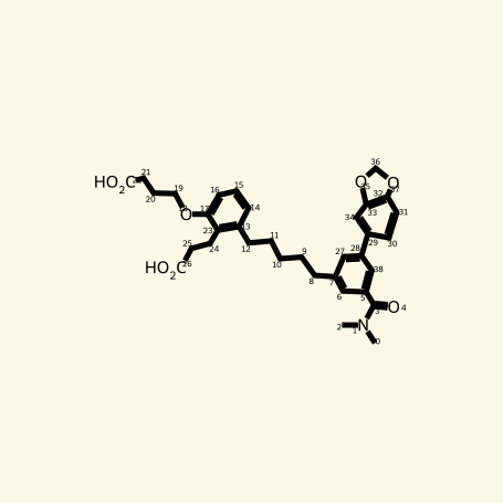 CN(C)C(=O)c1cc(CCCCCc2cccc(OCCCC(=O)O)c2CCC(=O)O)cc(-c2ccc3c(c2)OCO3)c1